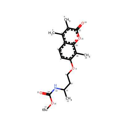 Cc1c(C)c2ccc(OCCC(C)NC(=O)OC(C)(C)C)c(C)c2oc1=O